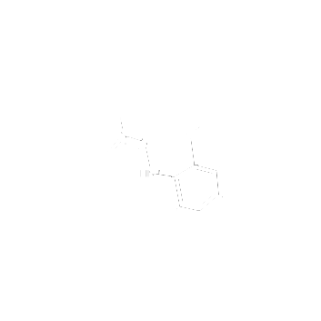 COc1ccccc1NN[N+](=O)[O-].Cl